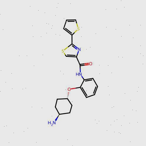 N[C@H]1CC[C@H](Oc2ccccc2NC(=O)c2csc(-c3cccs3)n2)CC1